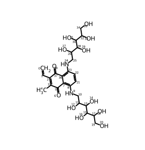 C=CC1=C(C)C(=O)c2c(NCC(O)C(O)C(O)C(O)CO)ccc(NCC(O)C(O)C(O)C(O)CO)c2C1=O